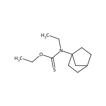 CCOC(=S)N(CC)C12CCC(CC1)C2